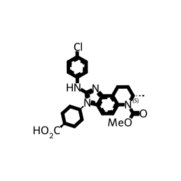 COC(=O)N1c2ccc3c(nc(Nc4ccc(Cl)cc4)n3[C@H]3CC[C@H](C(=O)O)CC3)c2CC[C@@H]1C